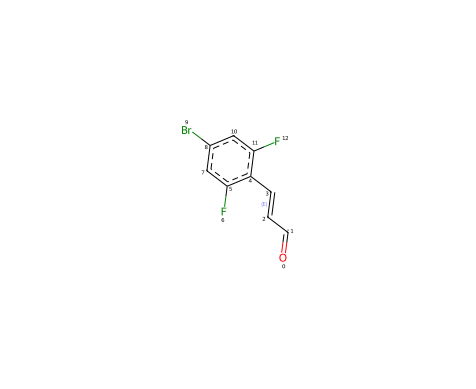 O=[C]/C=C/c1c(F)cc(Br)cc1F